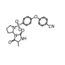 CC1NC(=O)N(C2CCCN2S(=O)(=O)c2ccc(Oc3ccc(C#N)cc3)cc2)C1=O